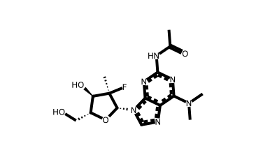 CC(=O)Nc1nc(N(C)C)c2ncn([C@@H]3O[C@H](CO)[C@@H](O)[C@@]3(C)F)c2n1